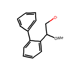 COC(C[O])c1ccccc1-c1ccccc1